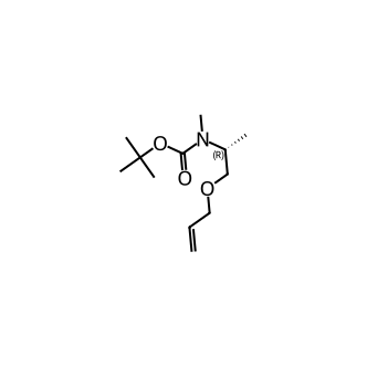 C=CCOC[C@@H](C)N(C)C(=O)OC(C)(C)C